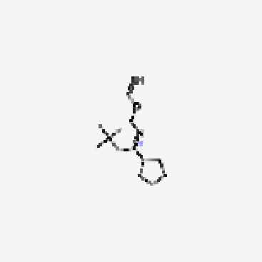 CC(C)(C)C/C(=N\COC=N)C1CCCC1